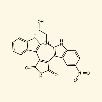 Cc1[nH]c2ccccc2c1C1=C(c2c(CCCO)[nH]c3ccc([N+](=O)[O-])cc23)C(=O)NC1=O